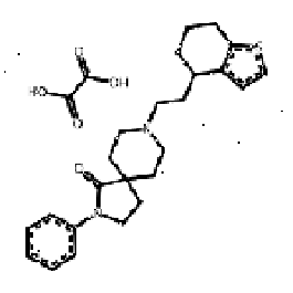 O=C(O)C(=O)O.O=C1N(c2ccccc2)CCC12CCN(CCC1CCCc3sccc31)CC2